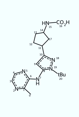 Cc1nccnc1Nc1cc(C2CCC(NC(=O)O)C2)nn1C(C)(C)C